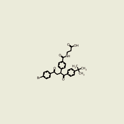 CC(C)(C)c1ccc(C(=O)C(CC(=O)c2ccc(Br)cc2)c2ccc(C(=O)NCCC(=O)O)cc2)cc1